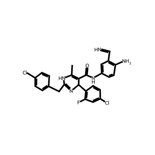 CC1=C(C(=O)Nc2ccc(N)c(C=N)c2)C(c2ccc(Cl)cc2F)N=C(Cc2ccc(Cl)cc2)N1